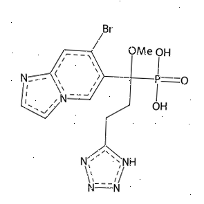 COC(CCc1nnn[nH]1)(c1cn2ccnc2cc1Br)P(=O)(O)O